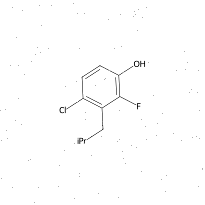 CC(C)Cc1c(Cl)ccc(O)c1F